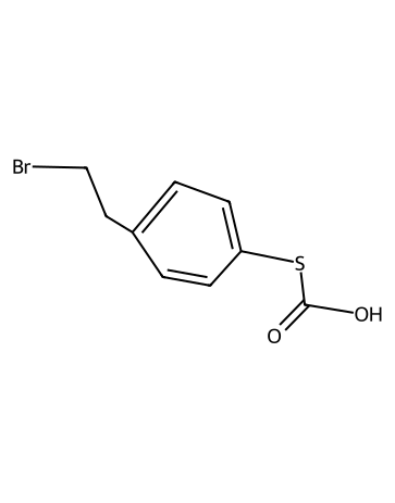 O=C(O)Sc1ccc(CCBr)cc1